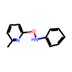 Cc1cccc(ONc2ccccc2)n1